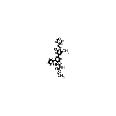 CCOC(=O)Nc1nc2c([nH]1)C(c1ccccn1)CC(c1cc(C)n(CCN3CCOCC3)c(=O)c1)=C2